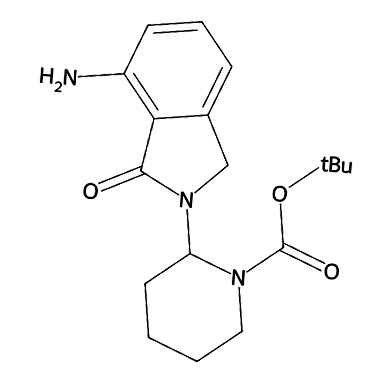 CC(C)(C)OC(=O)N1CCCCC1N1Cc2cccc(N)c2C1=O